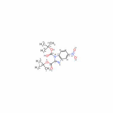 CC(C)(C)OC(=O)c1nc2cc([N+](=O)[O-])ccc2n1C(=O)OC(C)(C)C